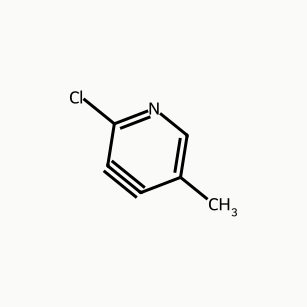 Cc1c#cc(Cl)nc1